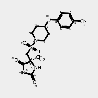 C[C@]1(CS(=O)(=O)N2CCC(Oc3ccc(C#N)cc3)CC2)NC(=O)NC1=O